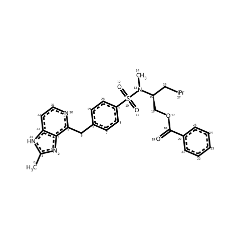 Cc1nc2c(Cc3ccc(S(=O)(=O)N(C)[C@H](COC(=O)c4ccccc4)CC(C)C)cc3)nccc2[nH]1